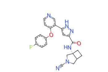 N#CN1CC2CC[C@]2(NC(=O)c2cc(-c3cnccc3Oc3ccc(F)cc3)[nH]n2)C1